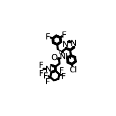 O=C(Cc1cn(C(F)F)c2c1C(F)(F)CCC2(F)F)N[C@@H](Cc1cc(F)cc(F)c1)c1ncncc1-c1ccc(Cl)cc1